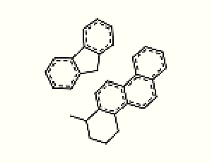 CC1CCCc2c1ccc1c2ccc2ccccc21.c1ccc2c(c1)Cc1ccccc1-2